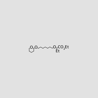 CCOC(=O)C(CC)OCCCCCCCOC1CCCCO1